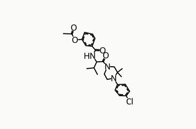 CC(=O)Oc1cccc(C(=O)NC(C(=O)N2CCN(c3ccc(Cl)cc3)C(C)(C)C2)C(C)C)c1